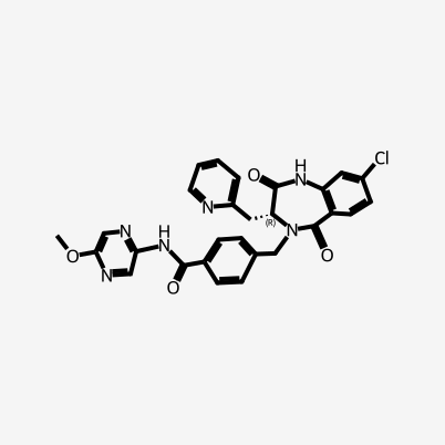 COc1cnc(NC(=O)c2ccc(CN3C(=O)c4ccc(Cl)cc4NC(=O)[C@H]3Cc3ccccn3)cc2)cn1